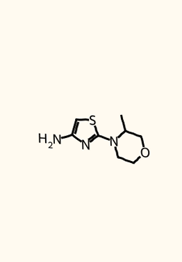 CC1COCCN1c1nc(N)cs1